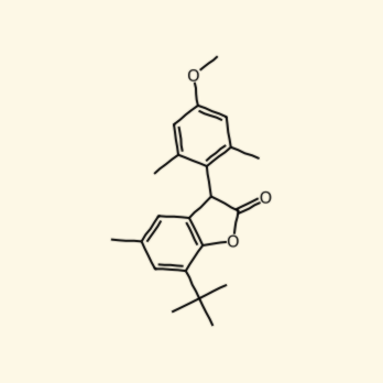 COc1cc(C)c(C2C(=O)Oc3c2cc(C)cc3C(C)(C)C)c(C)c1